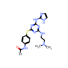 CCC(=O)Nc1ccc(Sc2nc(NCCN(C)C)nc(Nc3ncc[nH]3)n2)cc1